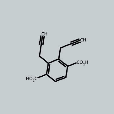 C#CCc1c(C(=O)O)ccc(C(=O)O)c1CC#C